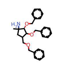 CC1(N)CC(COCc2ccccc2)C(OCc2ccccc2)[C@@H]1OCc1ccccc1